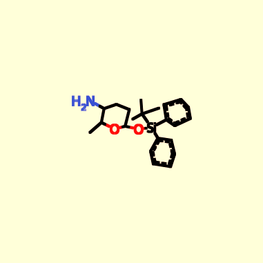 CC1OC(O[Si](c2ccccc2)(c2ccccc2)C(C)(C)C)CCC1N